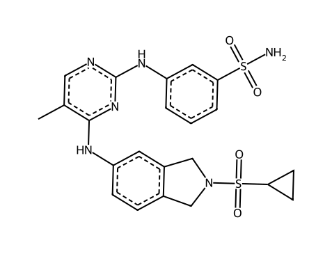 Cc1cnc(Nc2cccc(S(N)(=O)=O)c2)nc1Nc1ccc2c(c1)CN(S(=O)(=O)C1CC1)C2